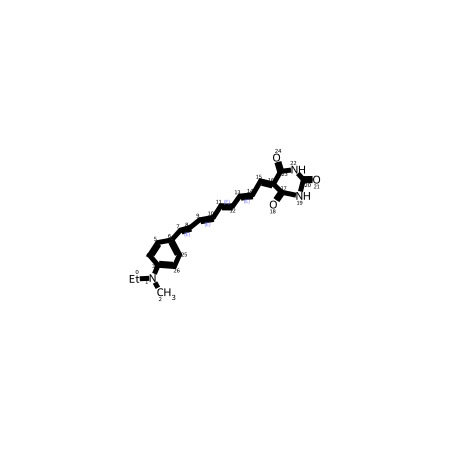 CCN(C)c1ccc(/C=C/C=C/C=C/C=C/C=C2C(=O)NC(=O)NC2=O)cc1